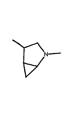 CC1CN(C)C2CC12